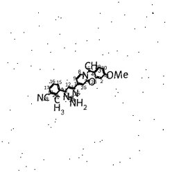 COc1ccc(C(C)n2ccc(-c3cc(-c4cccc(C#N)c4C)nc(N)n3)cc2=O)cc1